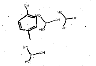 Cc1ccc(O)cc1.OP(O)O.OP(O)O.OP(O)O